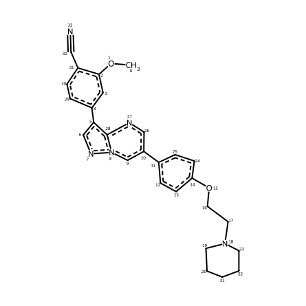 COc1cc(-c2cnn3cc(-c4ccc(OCCN5CCCCC5)cc4)cnc23)ccc1C#N